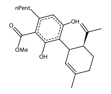 C=C(C)[C@H]1CCC(C)=CC1c1c(O)cc(CCCCC)c(C(=O)OC)c1O